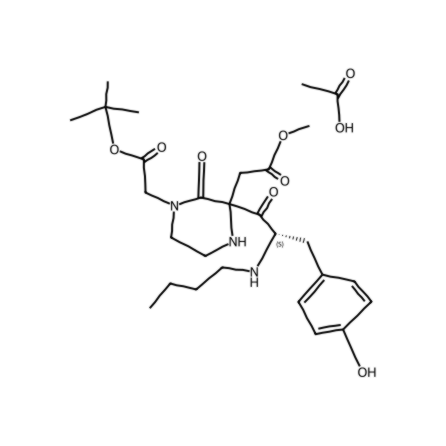 CC(=O)O.CCCCN[C@@H](Cc1ccc(O)cc1)C(=O)C1(CC(=O)OC)NCCN(CC(=O)OC(C)(C)C)C1=O